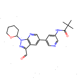 CC(C)(C)C(=O)Nc1cncc(-c2cnc3c(c2)c(C=O)nn3C2CCCCO2)c1